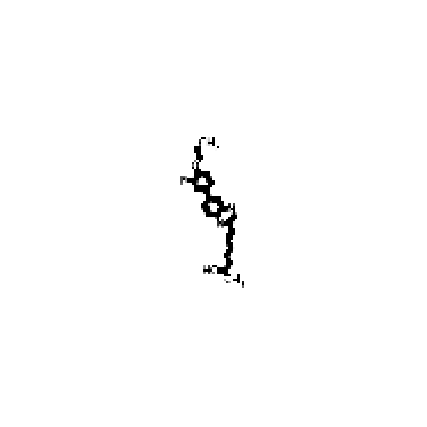 C=CCOc1ccc(-c2ccc3nc(C=CCCCC(C)O)cnc3c2)cc1F